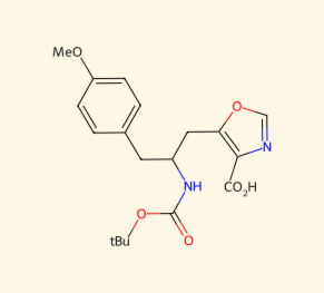 COc1ccc(CC(Cc2ocnc2C(=O)O)NC(=O)OC(C)(C)C)cc1